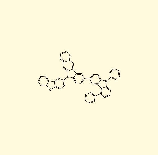 c1ccc(-c2cccc3c2c2cc(-c4ccc5c(c4)c4cc6ccccc6cc4n5-c4ccc5oc6ccccc6c5c4)ccc2n3-c2ccccc2)cc1